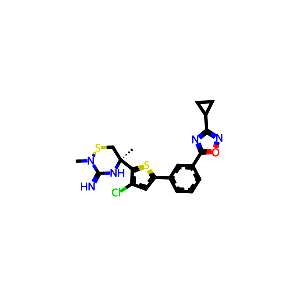 CN1SC[C@@](C)(c2sc(-c3cccc(-c4nc(C5CC5)no4)c3)cc2Cl)NC1=N